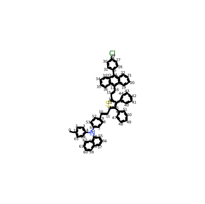 Cc1ccc(N(c2ccc(C=Cc3sc(C=Cc4c5ccccc5c(-c5ccc(Cl)cc5)c5ccccc45)c(-c4ccccc4)c3-c3ccccc3)cc2)c2cccc3ccccc23)cc1